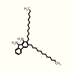 CCCCCCCCCCCCc1cc2c(c(N)c1CCCCCCCCCCCC)C(N)c1ccccc1-2